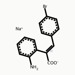 Nc1ccccc1/C(=C\c1ccc(Br)cc1)C(=O)[O-].[Na+]